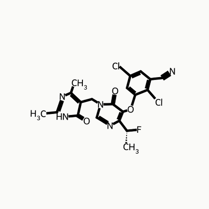 Cc1nc(C)c(Cn2cnc([C@@H](C)F)c(Oc3cc(Cl)cc(C#N)c3Cl)c2=O)c(=O)[nH]1